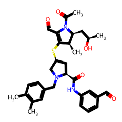 CC(=O)N1C(C=O)=C(S[C@H]2C[C@@H](C(=O)Nc3cccc(C=O)c3)N(Cc3ccc(C)c(C)c3)C2)[C@H](C)[C@@H]1C[C@@H](C)O